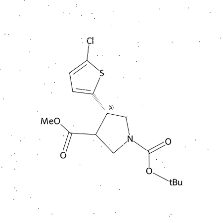 COC(=O)C1CN(C(=O)OC(C)(C)C)C[C@H]1c1ccc(Cl)s1